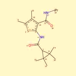 Cc1sc(NC(=O)C2C(C)(C)C2(C)C)c(C(=O)NC(C)C)c1C